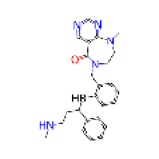 CNCCC(Bc1ccccc1CN1CCN(C)c2ncncc2C1=O)c1ccccc1